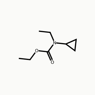 CCOC(=O)N(CC)C1CC1